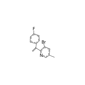 C=C(c1ccc(F)cc1)c1ncc(C)cc1Br